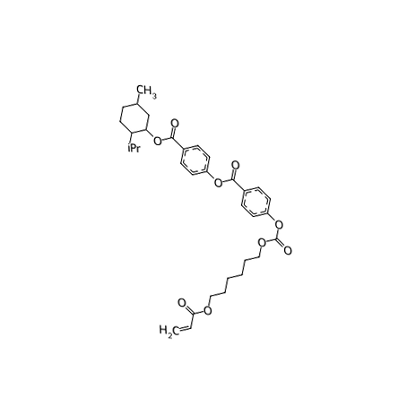 C=CC(=O)OCCCCCCOC(=O)Oc1ccc(C(=O)Oc2ccc(C(=O)OC3CC(C)CCC3C(C)C)cc2)cc1